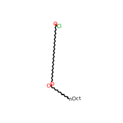 CCCCCCCCC=CCC=CCCCCCCC(=O)OCCCCCCCCCCCCCCCCCCCCCCCCCCCCCC(=O)Cl